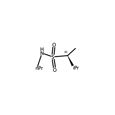 CCCNS(=O)(=O)[C@@H](C)C(C)C